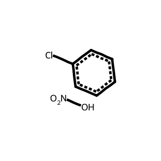 Clc1ccccc1.O=[N+]([O-])O